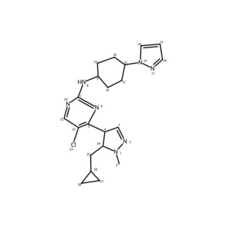 CN1N=CC(c2nc(NC3CCC(n4cccn4)CC3)ncc2Cl)C1CC1CC1